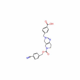 N#Cc1ccc(COC(=O)N2CCC3=C(CN(Cc4ccc(C(=O)O)cc4)C=N3)C2)cc1